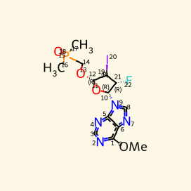 COc1ncnc2c1ncn2[C@@H]1O[C@H](OCP(C)(C)=O)[C@@H](I)[C@@H]1F